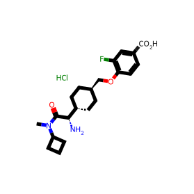 CN(C(=O)[C@@H](N)[C@H]1CC[C@H](COc2ccc(C(=O)O)cc2F)CC1)C1CCC1.Cl